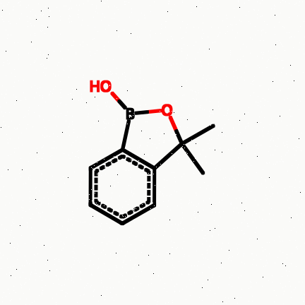 CC1(C)OB(O)c2ccccc21